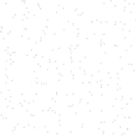 CCOc1ccc(C(=O)N2CCC(N3C(=O)C(C(=O)NN)Cc4ccccc43)CC2)c(OC)c1